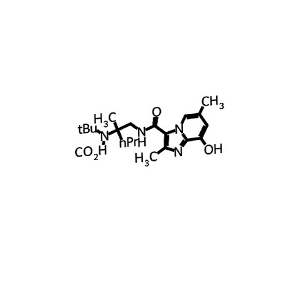 CCCC(C)(CNC(=O)c1c(C)nc2c(O)cc(C)cn12)N(C(=O)O)C(C)(C)C